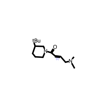 CN(C)C/C=C/C(=O)N1CCCC(C(C)(C)C)C1